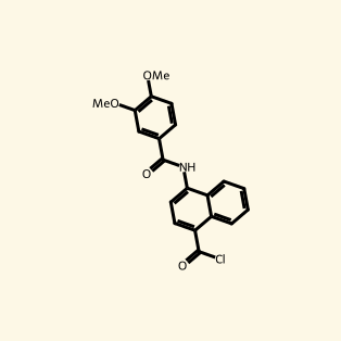 COc1ccc(C(=O)Nc2ccc(C(=O)Cl)c3ccccc23)cc1OC